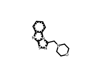 c1ccc2c(c1)nc1snc(CN3CCOCC3)n12